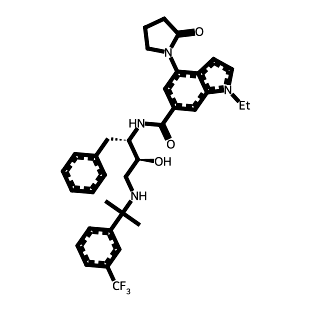 CCn1ccc2c(N3CCCC3=O)cc(C(=O)N[C@@H](Cc3ccccc3)[C@@H](O)CNC(C)(C)c3cccc(C(F)(F)F)c3)cc21